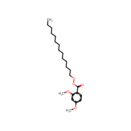 [CH2]CCCCCCCCCCCCCOOC(=O)c1ccc(OC)cc1OC